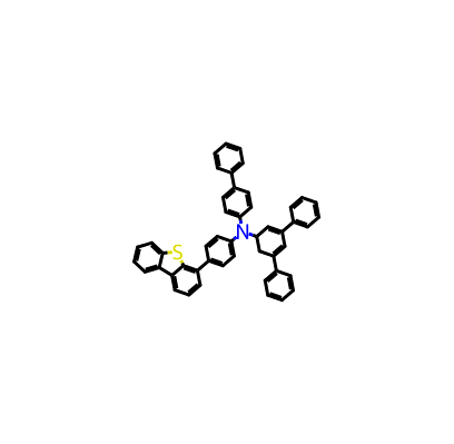 C1=C(c2ccccc2)C=C(c2ccccc2)CC1N(c1ccc(-c2ccccc2)cc1)c1ccc(-c2cccc3c2sc2ccccc23)cc1